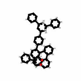 c1ccc(-c2cc(-c3ccc(-c4ccc5ccccc5c4-c4ccccc4-c4cccc5nc(-c6ccccc6)oc45)cc3)nc(-c3ccccc3)n2)cc1